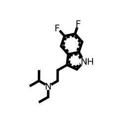 CCN(CCc1c[nH]c2cc(F)c(F)cc12)C(C)C